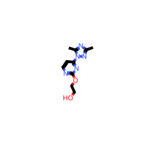 Cc1nc(C)n(-c2ccnc(OCCO)n2)n1